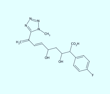 C=C(C=CC(O)CC(O)C(C(=O)O)c1ccc(F)cc1)c1nnnn1C